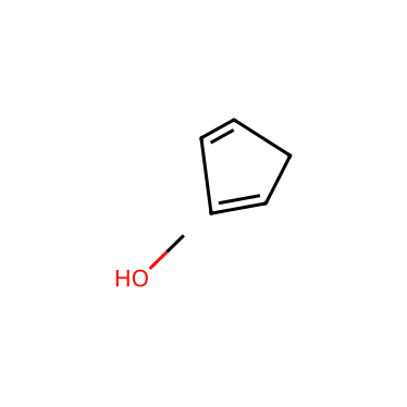 C1=CCC=C1.CO